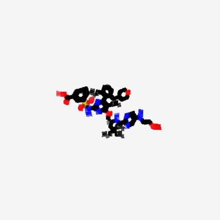 Cc1cccc(CC2CCOCC2)c1-c1nc(NS(=O)(=O)c2cccc(C(=O)O)c2)nc(OC[C@@H](CC(C)(C)C)NCc2ncc(NCCO)cn2)c1C